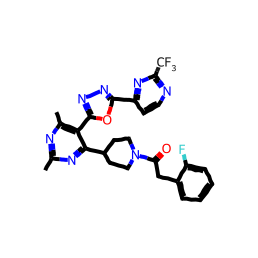 Cc1nc(C)c(-c2nnc(-c3ccnc(C(F)(F)F)n3)o2)c(C2CCN(C(=O)Cc3ccccc3F)CC2)n1